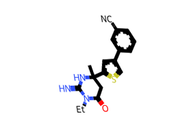 CCN1C(=N)NC(C)(c2cc(-c3cccc(C#N)c3)cs2)CC1=O